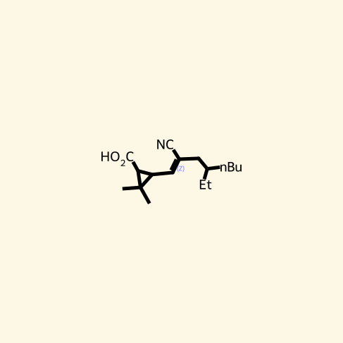 CCCCC(CC)C/C(C#N)=C/C1C(C(=O)O)C1(C)C